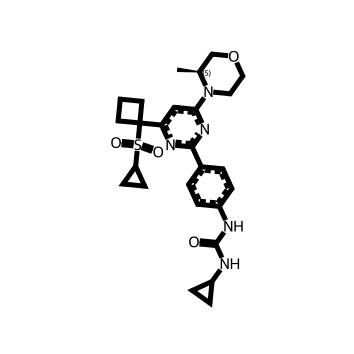 C[C@H]1COCCN1c1cc(C2(S(=O)(=O)C3CC3)CCC2)nc(-c2ccc(NC(=O)NC3CC3)cc2)n1